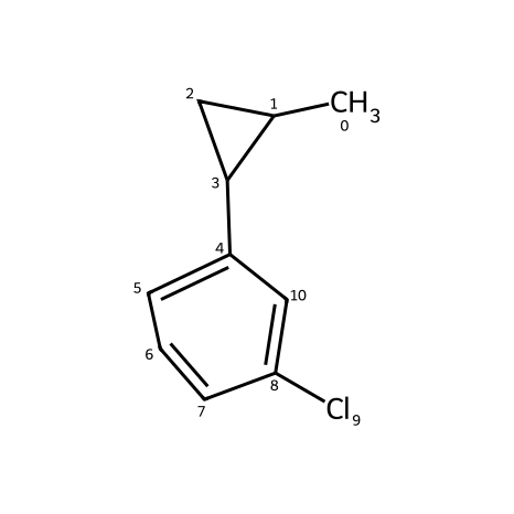 CC1CC1c1cccc(Cl)c1